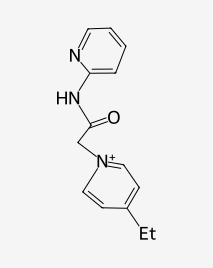 CCc1cc[n+](CC(=O)Nc2ccccn2)cc1